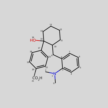 CN(C)c1ccccc1CC1CCCCC1(O)c1ccc(C(=O)O)cc1